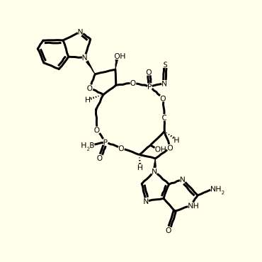 BP1(=O)OC[C@H]2O[C@@H](n3cnc4ccccc43)[C@@H](O)C2OP(=O)(N=S)OC[C@H]2O[C@@H](n3cnc4c(=O)[nH]c(N)nc43)[C@@H](O1)C2O